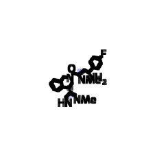 CN/C=C(\C=N)[C@@H]1CN(C(=O)/C(=C/C(N)c2ccc(F)cc2)NC)Cc2ccccc21